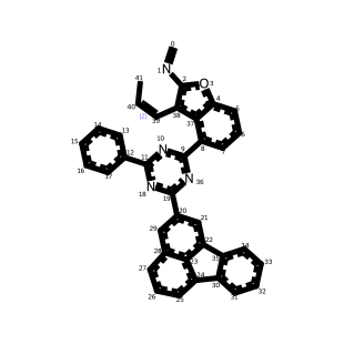 C=Nc1oc2cccc(-c3nc(-c4ccccc4)nc(-c4cc5c6c(cccc6c4)-c4ccccc4-5)n3)c2c1/C=C\C